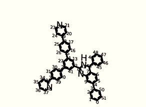 c1ccc(-c2ccc3c(c2)N=C(c2cc(-c4ccc(-c5ccncc5)cc4)cc(-c4ccc(-c5ccccn5)cc4)c2)NC3c2ccccc2)cc1